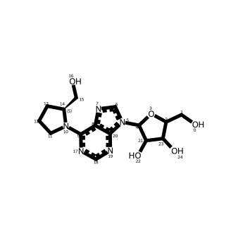 OCC1OC(n2cnc3c(N4CCC[C@H]4CO)ncnc32)C(O)C1O